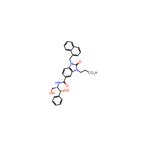 O=C(O)CCn1c(=O)n(Cc2cccc3ccccc23)c2ccc(C(=O)N[C@H](CO)[C@@H](O)c3ccccc3)cc21